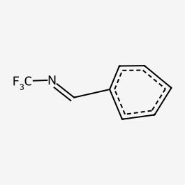 FC(F)(F)/N=C/c1ccccc1